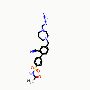 CC(=O)NS(=O)(=O)c1ccc(-c2ccc(CN3CCCN(CN=[N+]=[N-])CC3)cc2C#N)cc1